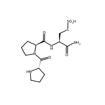 NC(=O)[C@H](CSS(=O)(=O)O)NC(=O)[C@@H]1CCCN1C(=O)[C@@H]1CCCN1